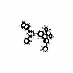 c1ccc(-c2nc(-c3ccc4c(c3)-c3cc(-c5ccncc5)ccc3C43c4ccccc4Oc4ccccc43)nc(-c3ccc4ccccc4c3)n2)cc1